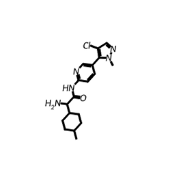 CC1CCC(C(N)C(=O)Nc2ccc(-c3c(Cl)cnn3C)cn2)CC1